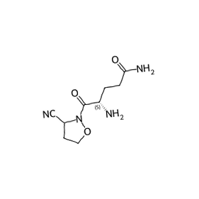 N#CC1CCON1C(=O)[C@@H](N)CCC(N)=O